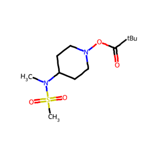 CN(C1CCN(OC(=O)C(C)(C)C)CC1)S(C)(=O)=O